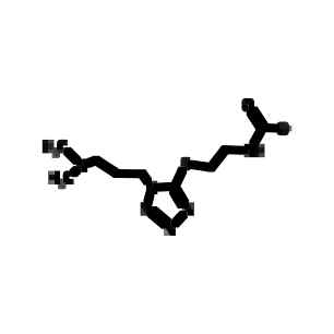 CN(C)CCCn1nnnc1SCCNC([O])=O